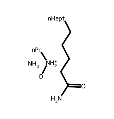 CCCCCCCCCCCC(N)=O.CCC[NH2+][O-].N